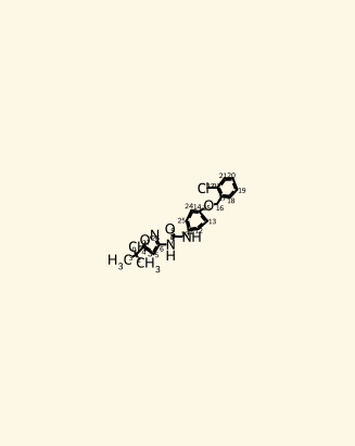 CC(C)(C)c1cc(NC(=O)Nc2ccc(OCc3ccccc3Cl)cc2)no1